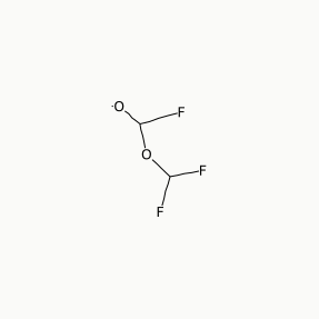 [O]C(F)OC(F)F